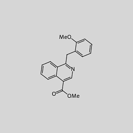 COC(=O)c1cnc(Cc2ccccc2OC)c2ccccc12